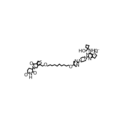 O=C1CCC(N2Cc3c(csc3COCCCCCCCCCCOc3cnc(N4CCN(c5nc6c(c(NC7(CO)CCC7)n5)[S@+]([O-])CC6)CC4)nc3)C2=O)C(=O)N1